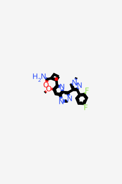 COc1cc2ncnc(-c3cn(C)nc3-c3ccc(F)cc3F)c2nc1C1C2CC1(C(N)=O)C2